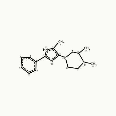 Cc1[nH]c(-c2ccccc2)nc1N1CCN(C)C(C)C1